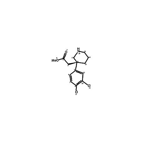 COC(=O)C[C@]1(c2ccc(Cl)c(Cl)c2)CCCNC1